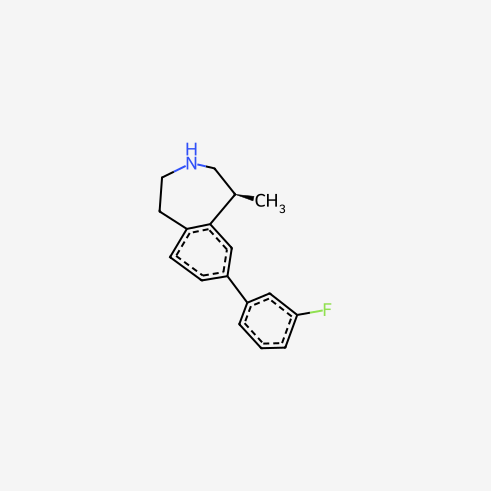 C[C@@H]1CNCCc2ccc(-c3cccc(F)c3)cc21